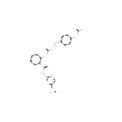 CC(=O)Oc1ccc(COC(=O)Oc2ccccc2C(=O)Nc2ncc([SH](=O)=O)s2)cc1